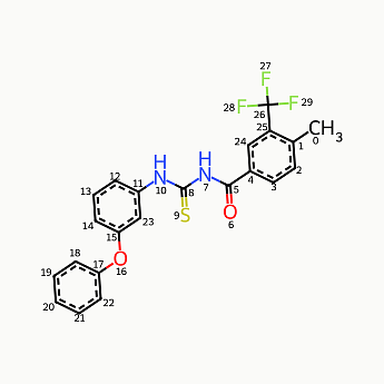 Cc1ccc(C(=O)NC(=S)Nc2cccc(Oc3ccccc3)c2)cc1C(F)(F)F